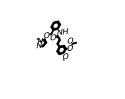 COc1ccc(C=CC(=O)Nc2ccccc2COc2ccnn2C)cc1OC(C)=O